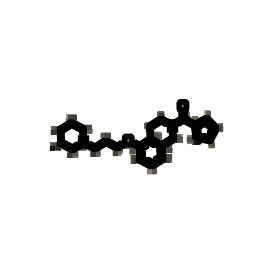 O=C(c1cccs1)N1CCc2c(cccc2OCCCN2CCCCC2)C1